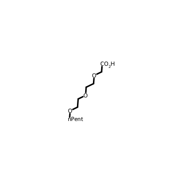 CCCCCOCCOCCOCC(=O)O